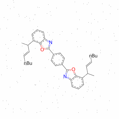 CCCCC=CC(C)c1cccc2nc(-c3ccc(-c4nc5cccc(C(C)C=CCCCC)c5o4)cc3)oc12